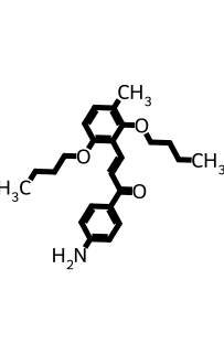 CCCCOc1ccc(C)c(OCCCC)c1C=CC(=O)c1ccc(N)cc1